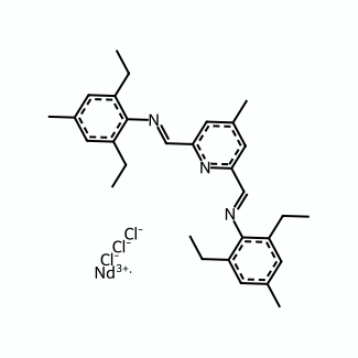 CCc1cc(C)cc(CC)c1N=Cc1cc(C)cc(C=Nc2c(CC)cc(C)cc2CC)n1.[Cl-].[Cl-].[Cl-].[Nd+3]